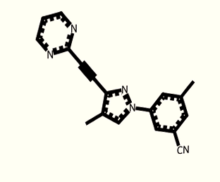 Cc1cc(C#N)cc(-n2cc(C)c(C#Cc3ncccn3)n2)c1